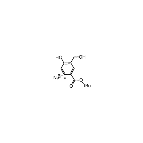 CC(C)(C)OC(=O)c1ccc(O)c(CO)c1.[BH4-].[Na+]